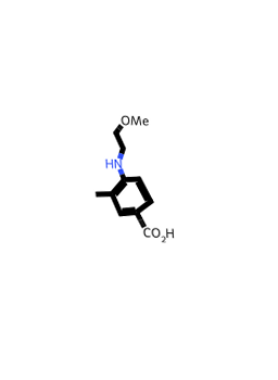 COCCNc1ccc(C(=O)O)cc1C